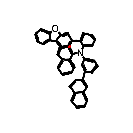 c1cc(-c2ccc3ccccc3c2)cc(N(c2ccccc2-c2ccc3c(c2)oc2ccccc23)c2cccc3ccccc23)c1